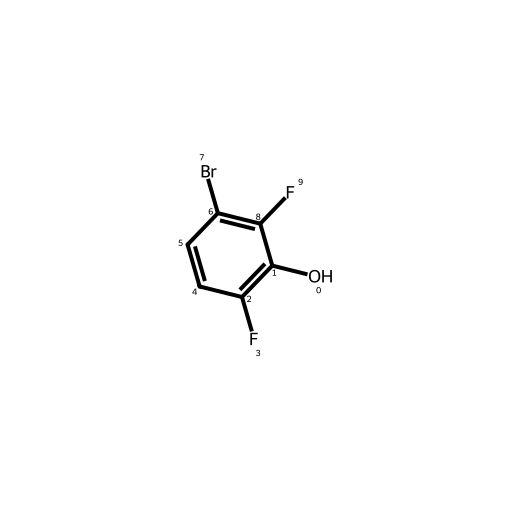 Oc1c(F)ccc(Br)c1F